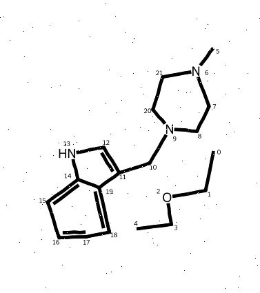 CCOCC.CN1CCN(Cc2c[nH]c3ccccc23)CC1